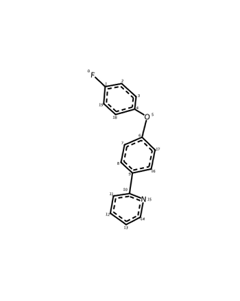 Fc1ccc(Oc2ccc(-c3ccc[c]n3)cc2)cc1